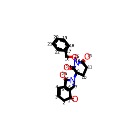 O=C1CC=CC2=C1CN(C1CCC(=O)N(OCc3ccccc3)C1=O)C2=O